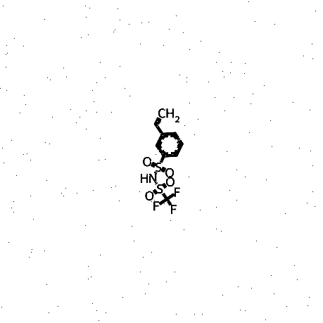 C=Cc1cccc(S(=O)(=O)NS(=O)(=O)C(F)(F)F)c1